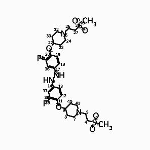 CS(=O)(=O)CCN1CCC(Oc2ccc(NNc3ccc(OC4CCN(CCS(C)(=O)=O)CC4)c(F)c3)cc2F)CC1